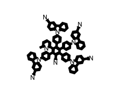 Cc1cccc(-c2c(-c3ccc(-n4c5ccccc5c5cc(C#N)ccc54)cc3)c(C#N)c(-c3ccc(-n4c5ccccc5c5cc(C#N)ccc54)cc3)c(-c3ccc(-n4c5ccccc5c5cc(C#N)ccc54)cc3)c2-c2ccc(-n3c4ccccc4c4cc(C#N)ccc43)cc2)n1